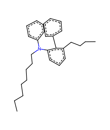 CCCCCCCCN(c1ccccc1)c1cccc(CCCC)c1-c1ccccc1